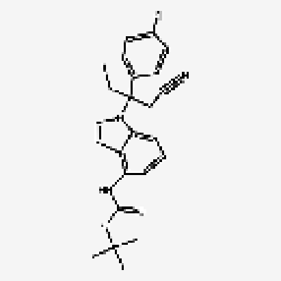 CCC(CC#N)(c1ccc(Cl)cc1)n1ccc2c(NC(=O)OC(C)(C)C)cccc21